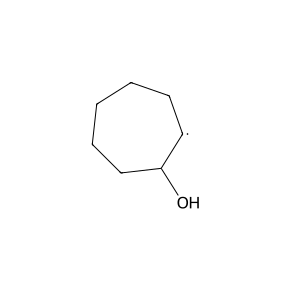 OC1[CH]CCCCC1